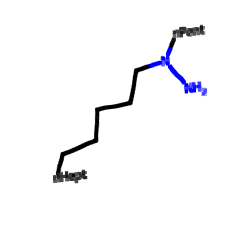 CCCCCCCCCCCCN(N)CCCCC